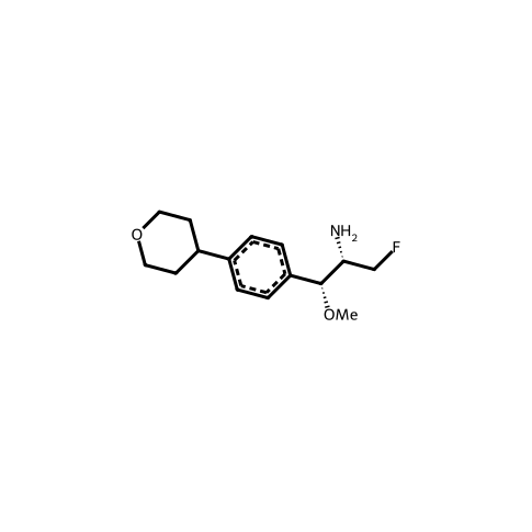 CO[C@H](c1ccc(C2CCOCC2)cc1)[C@H](N)CF